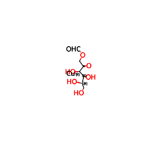 O=COCC(=O)[C@H](O)[C@@H](O)[C@H](O)CO.[Cu]